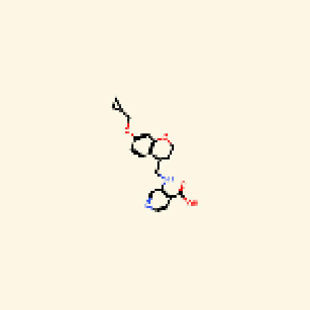 O=C(O)c1ccncc1NCC1CCOc2cc(OCC3CC3)ccc21